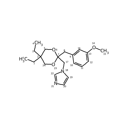 CCC1(CC)COC(Cc2cccc(OC)c2)(Cn2ccnc2)OC1